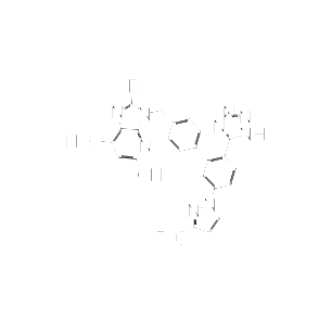 CCc1nc2c(C)cc(C)nc2n1Cc1ccc(-c2cc(-n3ccc(C(F)(F)F)n3)ccc2-c2nnn[nH]2)cc1